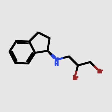 BrCC(Br)CN[C@@H]1CCc2ccccc21